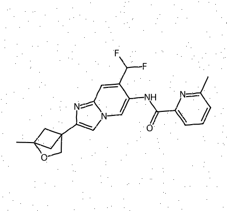 Cc1cccc(C(=O)Nc2cn3cc(C45COC(C)(C4)C5)nc3cc2C(F)F)n1